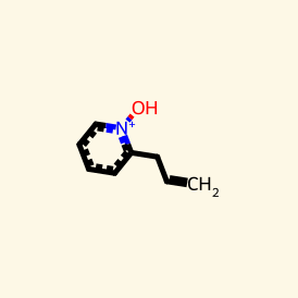 C=CCc1cccc[n+]1O